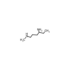 CCC(N)CCCNC